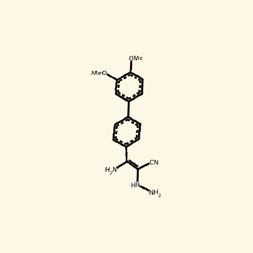 COc1ccc(-c2ccc(/C(N)=C(\C#N)NN)cc2)cc1OC